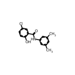 Cc1cc(C)cc(NC(=O)c2cc(Cl)ccc2O)c1